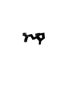 Cc1cc[nH]c1CC[N+](=O)[O-]